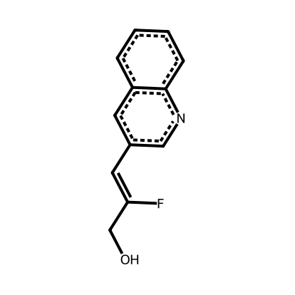 OC/C(F)=C/c1cnc2ccccc2c1